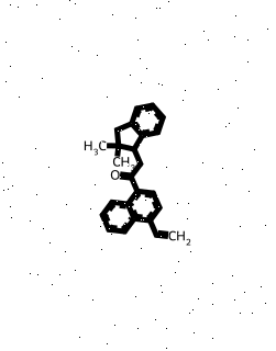 C=Cc1ccc(C(=O)CC2c3ccccc3CC2(C)C)c2ccccc12